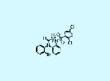 NC(=O)N(c1ccccc1Br)c1ccccc1NS(=O)(=O)c1cc(Cl)sc1Cl